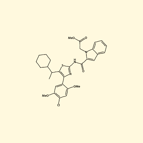 COC(=O)Cn1c(C(=O)Nc2nc(-c3cc(OC)c(Cl)cc3OC)c(C(C)C3CCCCC3)s2)cc2ccccc21